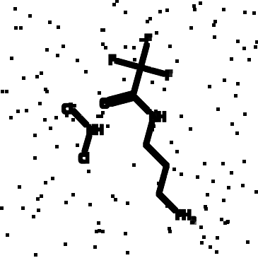 ClNCl.O=C(NCCCP)C(F)(F)F